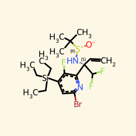 C=C[C@](N[S@@+]([O-])C(C)(C)C)(c1nc(Br)cc([Si](CC)(CC)CC)c1F)C(F)F